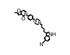 Cc1cc2c(=O)n(-c3ccc(N4CCN(CCCCc5c[nH]c6ccc(C#N)cc56)CC4)cc3)ccc2o1